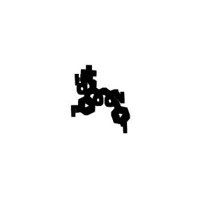 CC(C)(C)N/C=C1\C(=O)c2cc(F)ccc2OC1Cc1cnc(-c2ccc(I)cc2)o1